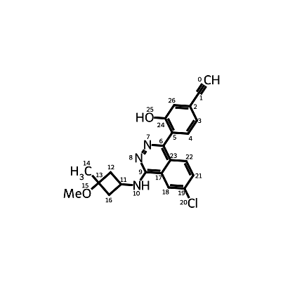 C#Cc1ccc(-c2nnc(NC3CC(C)(OC)C3)c3cc(Cl)ccc23)c(O)c1